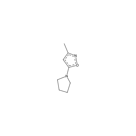 Cc1cc(N2CCCC2)on1